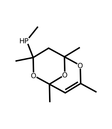 CPC1(C)CC2(C)OC(C)=CC(C)(O2)O1